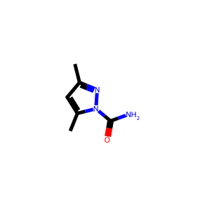 Cc1cc(C)n(C(N)=O)n1